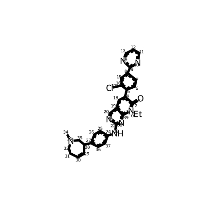 CCn1c(=O)c(-c2ccc(-c3ncccn3)cc2Cl)cc2cnc(Nc3ccc(C4C=CCCN(C)C4)cc3)nc21